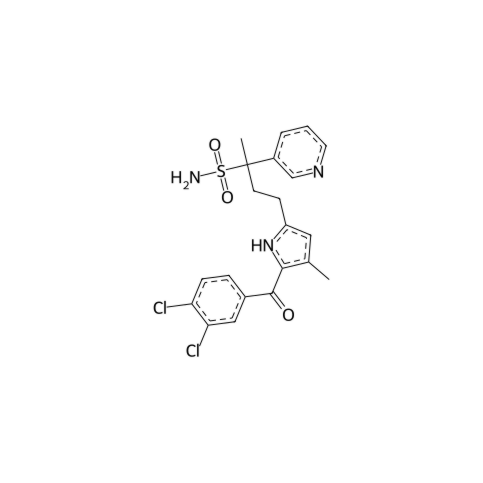 Cc1cc(CCC(C)(c2cccnc2)S(N)(=O)=O)[nH]c1C(=O)c1ccc(Cl)c(Cl)c1